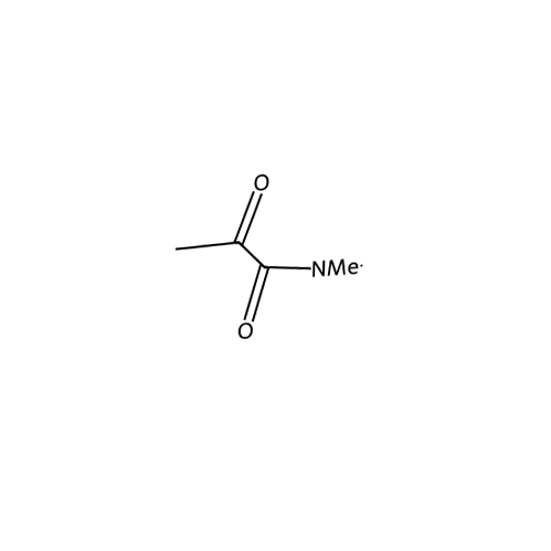 C[N]C(=O)C(C)=O